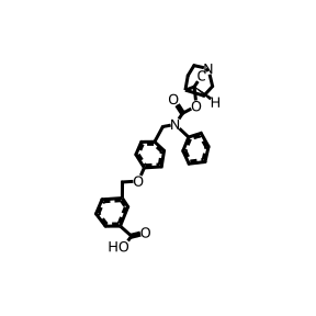 O=C(O)c1cccc(COc2ccc(CN(C(=O)O[C@H]3CN4CCC3CC4)c3ccccc3)cc2)c1